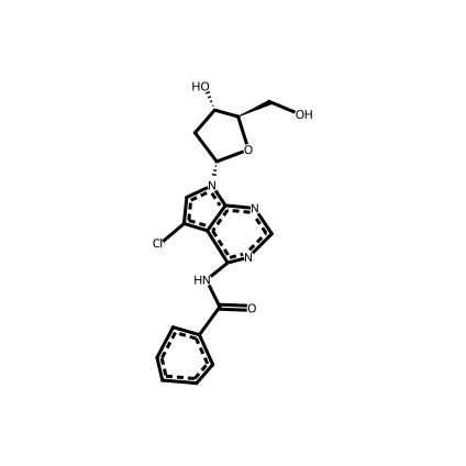 O=C(Nc1ncnc2c1c(Cl)cn2[C@@H]1C[C@H](O)[C@@H](CO)O1)c1ccccc1